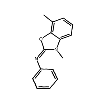 Cc1cccc2c1o/c(=N/c1ccccc1)n2C